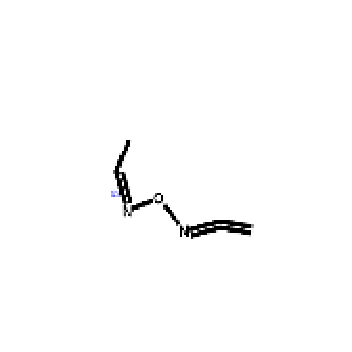 C=C=NO/N=C\C